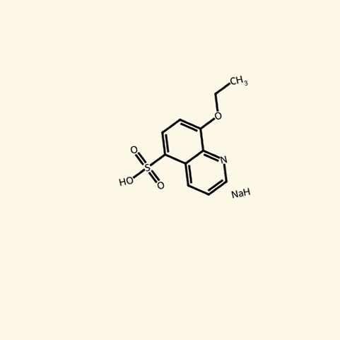 CCOc1ccc(S(=O)(=O)O)c2cccnc12.[NaH]